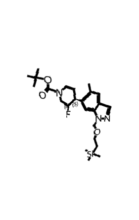 Cc1cc2cnn(COCC[Si](C)(C)C)c2cc1[C@@H]1CCN(C(=O)OC(C)(C)C)C[C@@H]1F